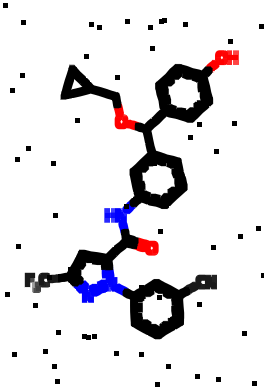 N#Cc1cccc(-n2nc(C(F)(F)F)cc2C(=O)Nc2cccc(C(OCC3CC3)c3ccc(O)cc3)c2)c1